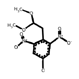 COC(Cc1c([N+](=O)[O-])cc(Cl)cc1[N+](=O)[O-])OC